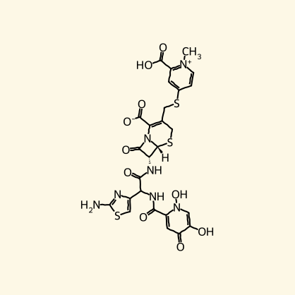 C[n+]1ccc(SCC2=C(C(=O)[O-])N3C(=O)[C@@H](NC(=O)C(NC(=O)c4cc(=O)c(O)cn4O)c4csc(N)n4)[C@H]3SC2)cc1C(=O)O